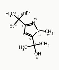 CCCC(C)(CC)c1cc(C(C)(C)O)n(C)n1